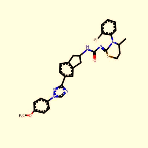 CC(C)c1ccccc1N1C(=NC(=O)NC2Cc3ccc(-c4ncn(-c5ccc(OC(F)(F)F)cc5)n4)cc3C2)SCCC1C